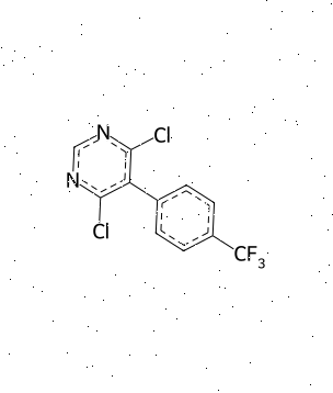 FC(F)(F)c1ccc(-c2c(Cl)ncnc2Cl)cc1